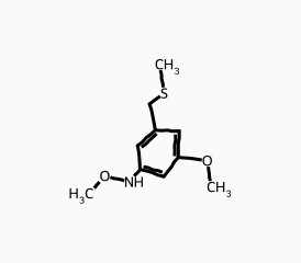 CONc1cc(CSC)cc(OC)c1